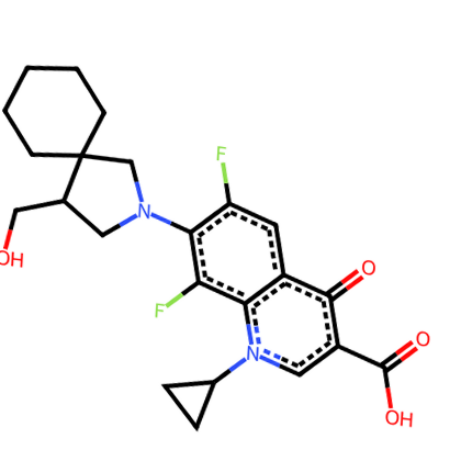 O=C(O)c1cn(C2CC2)c2c(F)c(N3CC(CO)C4(CCCCC4)C3)c(F)cc2c1=O